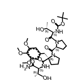 COc1cc(C[C@@]2(C(=O)N[C@H](C(N)=O)[C@@H](C)O)CCCN2C(=O)[C@@H]2CCCN2C(=O)[C@@H](NC(=O)OC(C)(C)C)[C@@H](C)O)cc(OC)c1OC